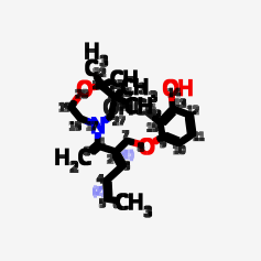 C=C(/C(=C\C=C/C)COc1cccc(O)c1C=O)N1CCOC(C)(C)C(C)(C)C1